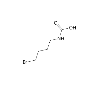 O=C(O)NCCCCBr